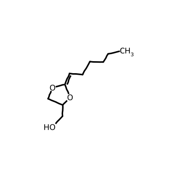 CCCCCC=C1OCC(CO)O1